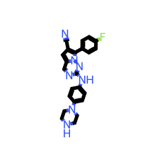 N#Cc1cc2cnc(Nc3ccc(N4CCNCC4)cc3)nn2c1-c1ccc(F)cc1